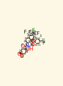 O=C(N1CCC2(S(=O)(=O)c3ccc(CF)cc3)c3ccc(C(F)(C(F)(F)F)C(F)(F)F)cc3CCC12)C1(O)CCS(=O)(=O)CC1